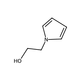 OCCn1cccc1